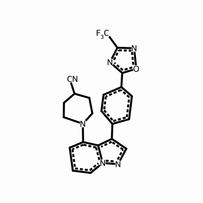 N#CC1CCN(c2cccn3ncc(-c4ccc(-c5nc(C(F)(F)F)no5)cc4)c23)CC1